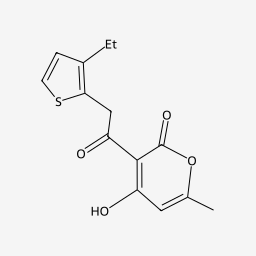 CCc1ccsc1CC(=O)c1c(O)cc(C)oc1=O